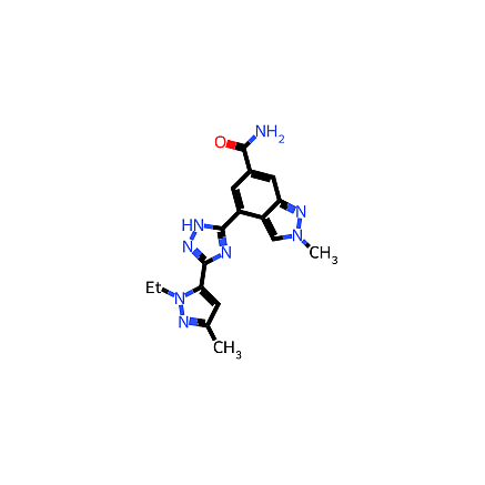 CCn1nc(C)cc1-c1n[nH]c(-c2cc(C(N)=O)cc3nn(C)cc23)n1